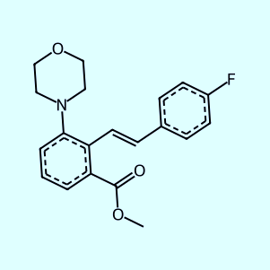 COC(=O)c1cccc(N2CCOCC2)c1C=Cc1ccc(F)cc1